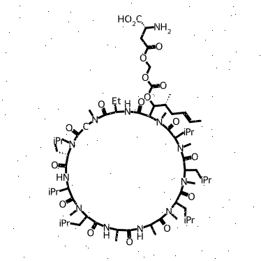 CC=CC[C@@H](C)C(OC(=O)OCOC(=O)C[C@@H](N)C(=O)O)C1C(=O)NC(CC)C(=O)N(C)CC(=O)N(C)[C@@H](CC(C)C)C(=O)NC(C(C)C)C(=O)N(C)C(CC(C)C)C(=O)NC(C)C(=O)NC(C)C(=O)N(C)C(CC(C)C)C(=O)N(C)C(CC(C)C)C(=O)N(C)C(C(C)C)C(=O)N1C